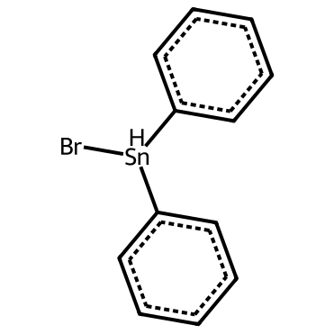 [Br][SnH]([c]1ccccc1)[c]1ccccc1